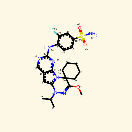 COC1=NN(C(C)C)c2cc3cnc(Nc4ccc(S(N)(=O)=O)cc4F)nc3n2C12CCCCC2